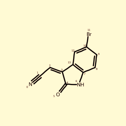 N#CC=C1C(=O)Nc2ccc(Br)cc21